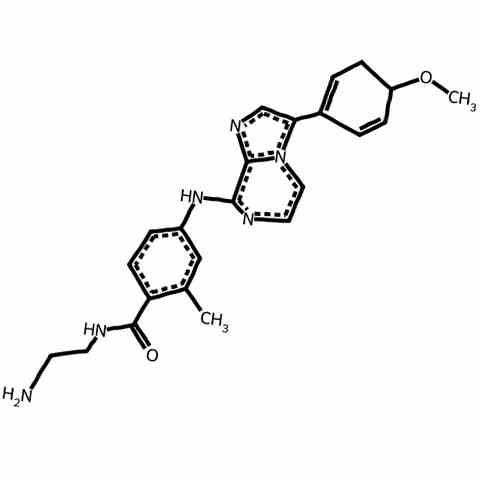 COC1C=CC(c2cnc3c(Nc4ccc(C(=O)NCCN)c(C)c4)nccn23)=CC1